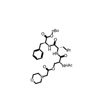 CCCCOC(=O)[C@H](Cc1ccccc1)NC(=O)[C@H](CC(C)C)NC(=O)[C@H](COC(=O)CN1CCOCC1)NC(C)=O